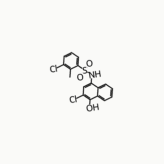 Cc1c(Cl)cccc1S(=O)(=O)Nc1cc(Cl)c(O)c2ccccc12